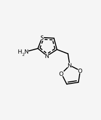 Nc1nc(CN2OC=CO2)cs1